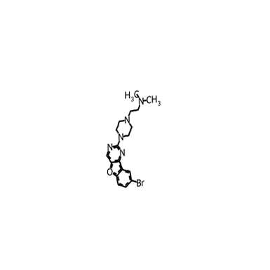 CN(C)CCN1CCN(c2ncc3oc4ccc(Br)cc4c3n2)CC1